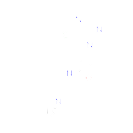 CN1CCC(N2CCC3(CCCN(c4nccnc4Cl)C3)C2=O)CC1